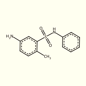 Cc1ccc(N)cc1S(=O)(=O)Nc1ccccc1